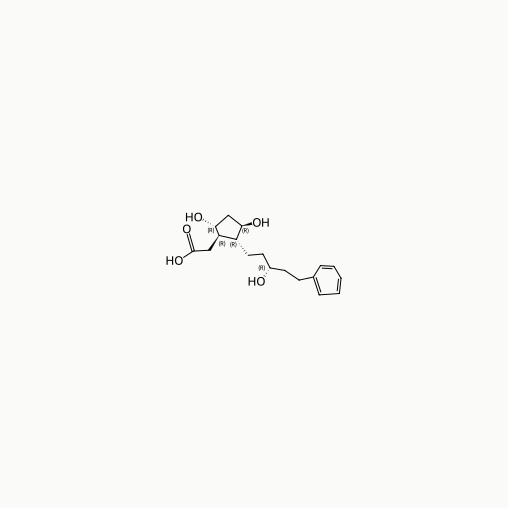 O=C(O)C[C@@H]1[C@@H](CC[C@@H](O)CCc2ccccc2)[C@H](O)C[C@H]1O